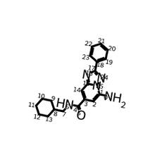 Nc1cc(C(=O)NCC2CCCCC2)cc2nc(-c3ccccc3)nn12